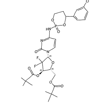 CC(C)(C)C(=O)OC[C@H]1O[C@@H](n2ccc(NP3(=O)OCCC(c4cccc(Cl)c4)O3)nc2=O)C(F)(F)[C@@H]1OC(=O)C(C)(C)C